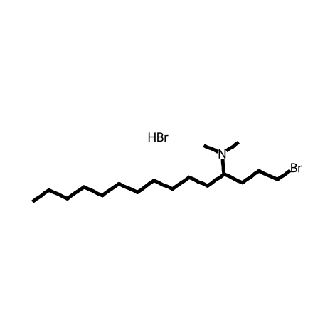 Br.CCCCCCCCCCCC(CCCBr)N(C)C